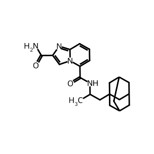 CC(CC12CC3CC(CC(C3)C1)C2)NC(=O)c1cccc2nc(C(N)=O)cn12